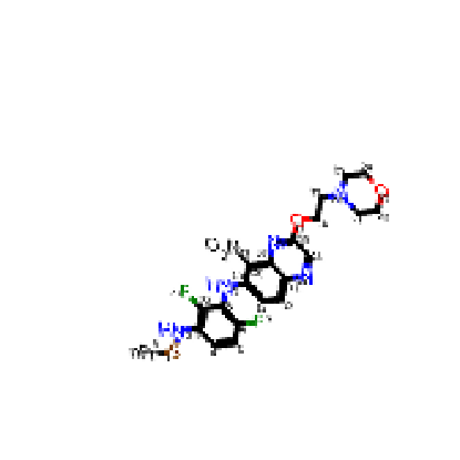 CCCSNc1ccc(F)c(Nc2ccc3ncc(OCCN4CCOCC4)nc3c2[N+](=O)[O-])c1F